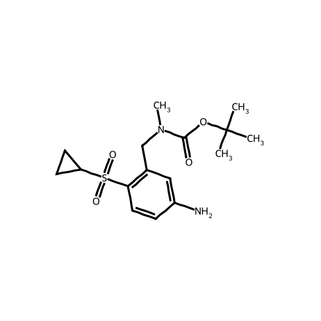 CN(Cc1cc(N)ccc1S(=O)(=O)C1CC1)C(=O)OC(C)(C)C